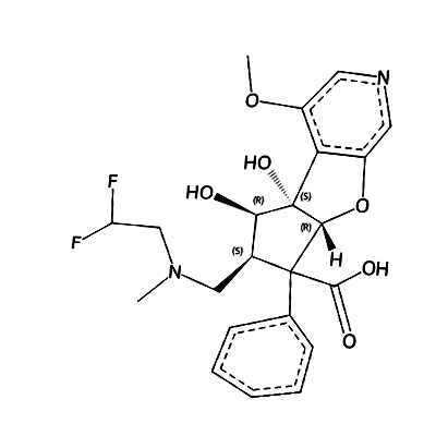 COc1cncc2c1[C@]1(O)[C@H](O)[C@H](CN(C)CC(F)F)C(C(=O)O)(c3ccccc3)[C@H]1O2